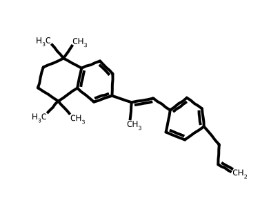 C=CCc1ccc(C=C(C)c2ccc3c(c2)C(C)(C)CCC3(C)C)cc1